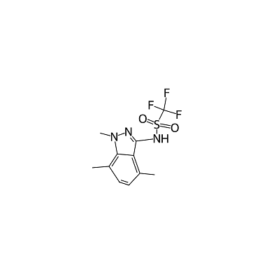 Cc1ccc(C)c2c1c(NS(=O)(=O)C(F)(F)F)nn2C